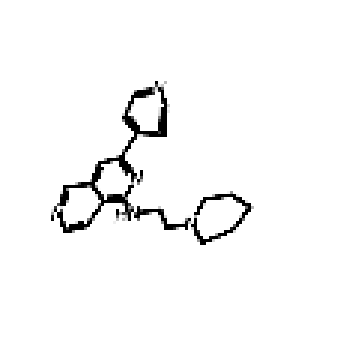 c1cc(-c2cc3cnccc3c(NCCN3CCCCC3)n2)ccn1